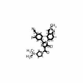 CN(C)[C@H]1CCN(C(=O)c2nc(-c3ccc(C#N)c(F)c3)n(-c3ccc4nn(C)cc4c3)c2Cl)C1